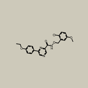 CCOc1ccc(-c2cncc(C(=O)NOCc3cc(OC)ccc3Cl)n2)cc1